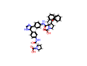 O=C(Nc1ccc(-c2[nH]cnc2-c2ccc(NC(=O)[C@]3(Cc4ccccc4)C(Cc4ccccc4)CCN3C(=O)O)cc2)cc1)[C@@H]1CCCN1C(=O)O